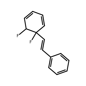 FC1C=CC=CC1(F)C=Cc1ccccc1